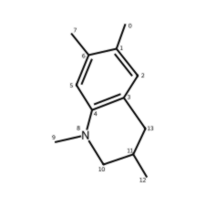 Cc1cc2c(cc1C)N(C)CC(C)C2